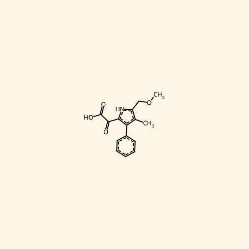 COCc1[nH]c(C(=O)C(=O)O)c(-c2ccccc2)c1C